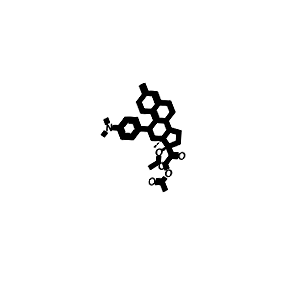 C=C1C=C2CCC3C(=C2CC1)C(c1ccc(N(C)C)cc1)C[C@@]1(C)C3CC[C@]1(OC(C)=O)C(=O)COC(C)=O